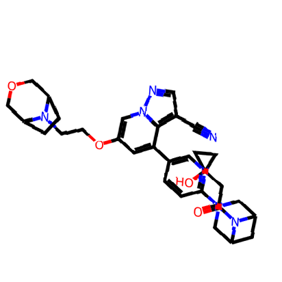 N#Cc1cnn2cc(OCCN3C4CCC3COC4)cc(-c3ccc(N4CC5CC(C4)N5C(=O)CC4(O)CC4)nc3)c12